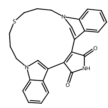 O=C1NC(=O)C2=C1c1cn(c3ccccc13)CCCSCCCn1cc2c2ccccc21